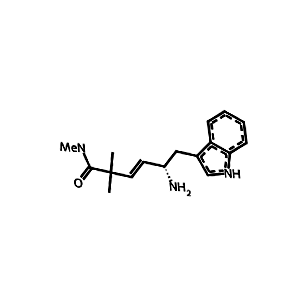 CNC(=O)C(C)(C)/C=C/[C@@H](N)Cc1c[nH]c2ccccc12